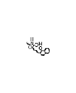 O=C1NC(=S)OC1=CC=Cc1ccc2ccccc2c1O